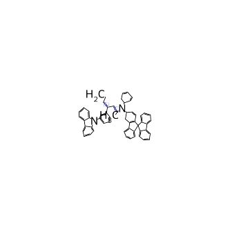 C=C/C=C(\C=C(/C)N(C1C=CC=CC1)C1C=CC2=C(C1)c1ccccc1C21c2ccccc2-c2ccccc21)c1cccc(-n2c3ccccc3c3ccccc32)c1